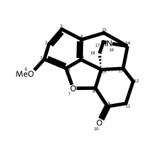 COc1ccc2c3c1OC1C(=O)CCC4C(C2)NCC[C@@]314